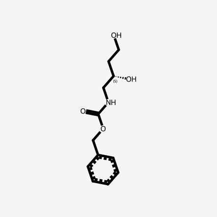 O=C(NC[C@@H](O)CCO)OCc1ccccc1